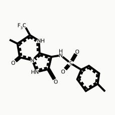 Cc1ccc(S(=O)(=O)Nc2c(=O)[nH]n3c(=O)c(C)c(C(F)(F)F)[nH]c23)cc1